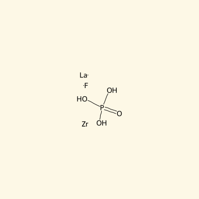 O=P(O)(O)O.[F].[La].[Zr]